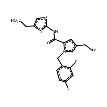 CC(C)Cc1cc(C(=O)Nc2nc(CC(=O)O)cs2)n(Cc2ccc(F)cc2F)c1